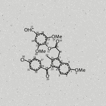 COc1ccc2c(c1)c(CC(=O)Oc1c(OC)cc(C=O)cc1OC)c(C)n2C(=O)c1ccc(Cl)cc1